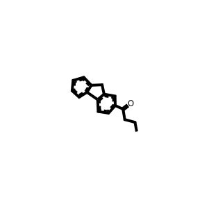 CCCC(=O)c1ccc2c(c1)Cc1ccccc1-2